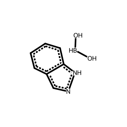 OBO.c1ccc2[nH]ncc2c1